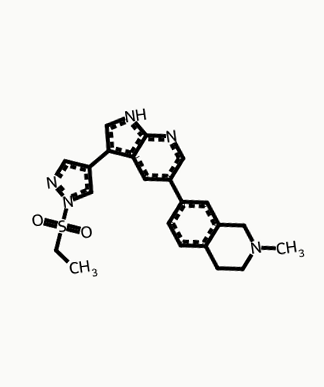 CCS(=O)(=O)n1cc(-c2c[nH]c3ncc(-c4ccc5c(c4)CN(C)CC5)cc23)cn1